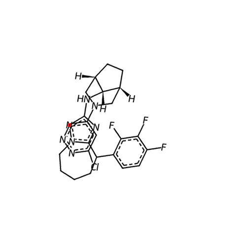 Fc1ccc(C2CCCCn3nc(N[C@H]4[C@@H]5CC[C@H]4CN(c4cnnc(Cl)c4)C5)nc32)c(F)c1F